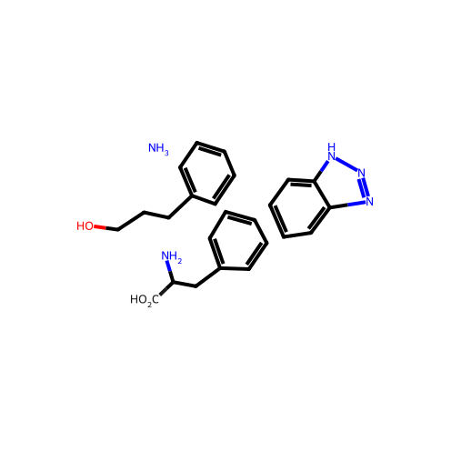 N.NC(Cc1ccccc1)C(=O)O.OCCCc1ccccc1.c1ccc2[nH]nnc2c1